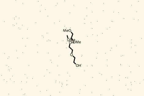 COC.COCCOC.OCCOCCO